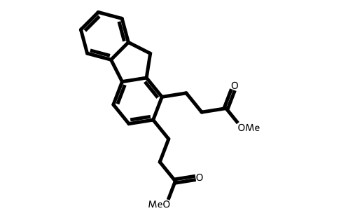 COC(=O)CCc1ccc2c(c1CCC(=O)OC)Cc1ccccc1-2